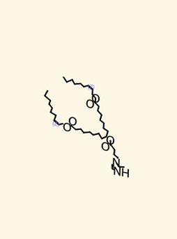 CCCCCC/C=C\COC(=O)CCCCCCCC(CCCCCCCC(=O)OC/C=C\CCCCCCC)OC(=O)CCCN1C=CNC1C